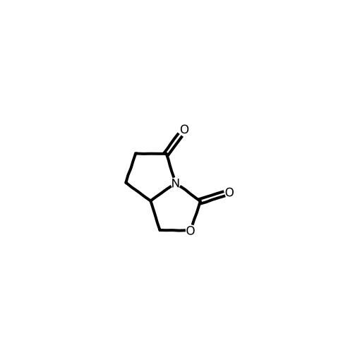 O=C1CCC2COC(=O)N12